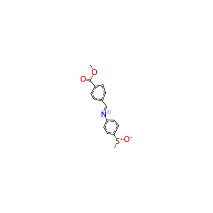 COC(=O)c1ccc(/C=N/c2ccc([S+](C)[O-])cc2)cc1